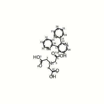 O=C(O)CN(CC(=O)O)CC(=O)O.c1ccc(-c2cccnc2-c2ccccn2)nc1